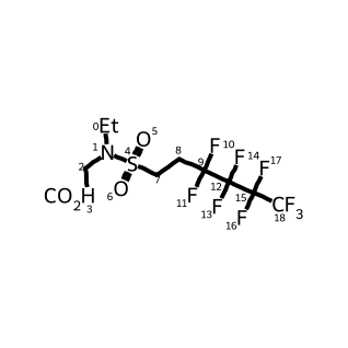 CCN(CC(=O)O)S(=O)(=O)CCC(F)(F)C(F)(F)C(F)(F)C(F)(F)F